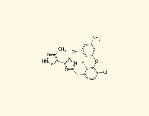 Cc1n[nH]cc1-c1nnc(Cc2ccc(Cl)c(Oc3cc(N)cc(Cl)c3)c2F)o1